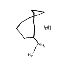 CNC1CCCC2(CC2)C1.Cl